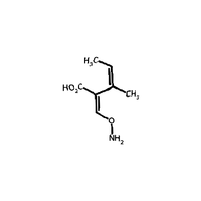 C/C=C(C)\C(=C/ON)C(=O)O